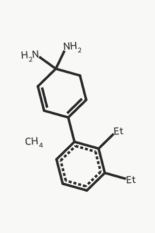 C.CCc1cccc(C2=CCC(N)(N)C=C2)c1CC